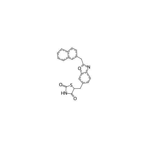 O=C1NC(=O)C(Cc2ccc3nc(Cc4ccc5ccccc5c4)oc3c2)S1